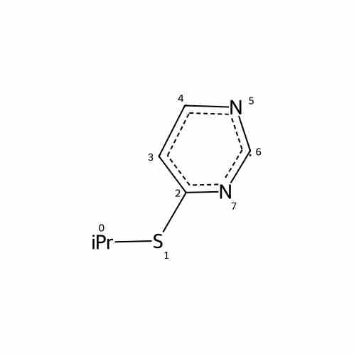 CC(C)Sc1ccn[c]n1